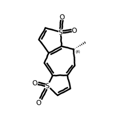 C[C@@H]1C=C2C=CS(=O)(=O)C2=CC2=C1S(=O)(=O)C=C2